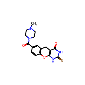 CN1CCN(C(=O)c2ccc3c(c2)Cc2c([nH]c(=S)[nH]c2=O)O3)CC1